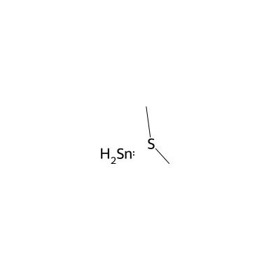 CSC.[SnH2]